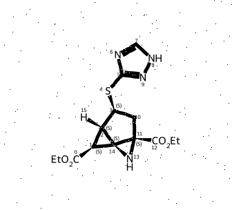 CCOC(=O)[C@H]1[C@@H]2[C@@H](Sc3nc[nH]n3)C[C@]3(C(=O)OCC)N[C@]213